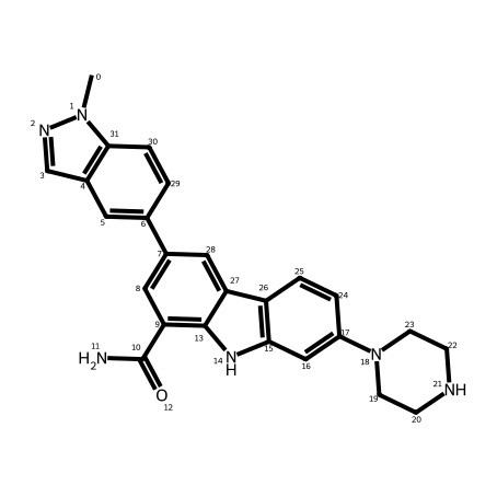 Cn1ncc2cc(-c3cc(C(N)=O)c4[nH]c5cc(N6CCNCC6)ccc5c4c3)ccc21